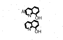 Oc1cccc2cccnc12.Oc1cccc2cccnc12.[Al]